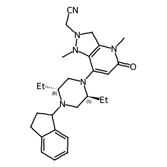 CC[C@H]1CN(C2CCc3ccccc32)[C@H](CC)CN1c1cc(=O)n(C)c2c1N(C)N(CC#N)C2